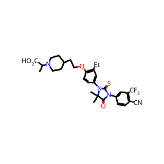 CCc1cc(N2C(=S)N(c3ccc(C#N)c(C(F)(F)F)c3)C(=O)C2(C)C)ccc1OCCC1CCN(C(C)C(=O)O)CC1